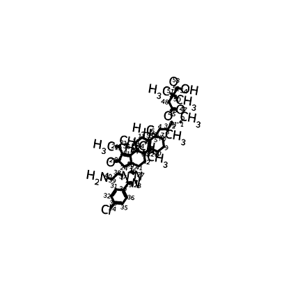 CC[C@H](CC[C@@]1(C)[C@H](C)CC[C@]2(C)[C@@H]1CC[C@@H]1C3=C(C(C)C)C(=O)C[C@]3(c3nnc(-c4ccc(Cl)cc4)n3CCN)CC[C@]12C)OC(=O)CC(C)(C)C(=O)O